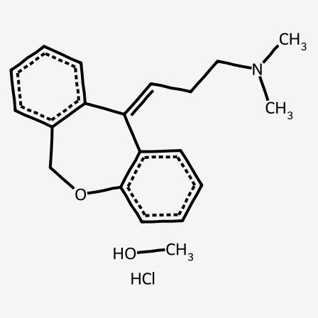 CN(C)CCC=C1c2ccccc2COc2ccccc21.CO.Cl